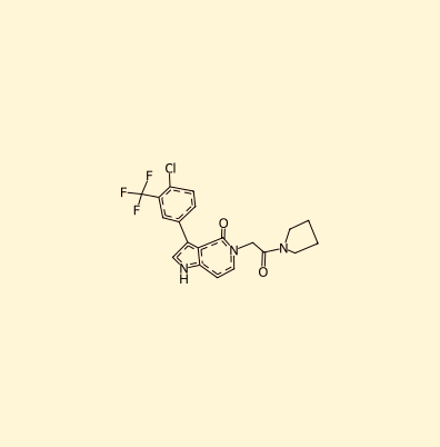 O=C(Cn1ccc2[nH]cc(-c3ccc(Cl)c(C(F)(F)F)c3)c2c1=O)N1CCCC1